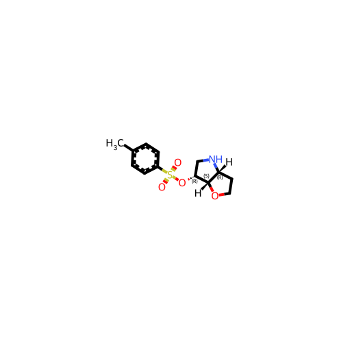 Cc1ccc(S(=O)(=O)O[C@@H]2CN[C@@H]3CCO[C@@H]32)cc1